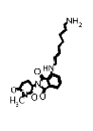 CN1C(=O)CCC(N2C(=O)c3cccc(NCCCCCCCCN)c3C2=O)C1=O